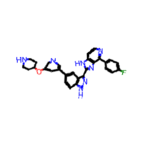 Fc1ccc(-c2nccc3[nH]c(-c4n[nH]c5ccc(-c6cncc(OC7CCNCC7)c6)cc45)nc23)cc1